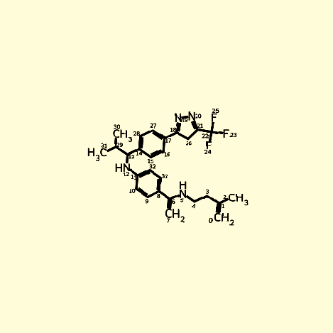 C=C(C)CCNC(=C)c1ccc(NC(c2ccc(C3=NN=C(C(F)(F)F)C3)cc2)C(C)C)cc1